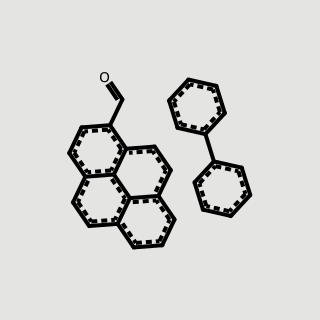 O=Cc1ccc2ccc3cccc4ccc1c2c34.c1ccc(-c2ccccc2)cc1